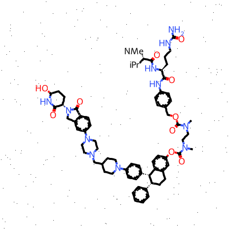 CN[C@H](C(=O)N[C@@H](CCCNC(N)=O)C(=O)Nc1ccc(COC(=O)N(C)CCN(C)C(=O)Oc2ccc3c(c2)CC[C@H](c2ccccc2)[C@@H]3c2ccc(N3CCC(CN4CCN(c5ccc6c(c5)CN([C@H]5CCC(O)NC5=O)C6=O)CC4)CC3)cc2)cc1)C(C)C